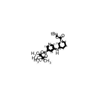 CC(C)(C)OC(=O)N1CCCC(Nc2cncc(B3OC(C)(C)C(C)(C)O3)c2)C1